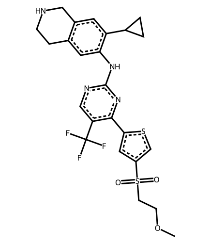 COCCS(=O)(=O)c1csc(-c2nc(Nc3cc4c(cc3C3CC3)CNCC4)ncc2C(F)(F)F)c1